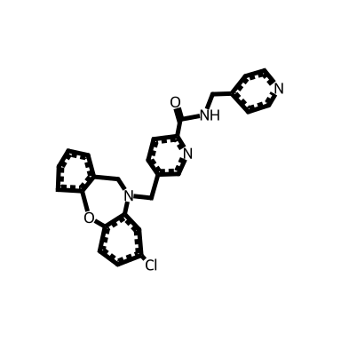 O=C(NCc1ccncc1)c1ccc(CN2Cc3ccccc3Oc3ccc(Cl)cc32)cn1